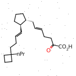 CCCC1(CCC=C[C@H]2CCC[C@@H]2CC=CCCC(=O)C(=O)O)CCC1